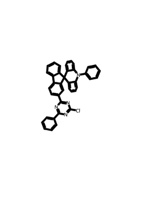 Clc1nc(-c2ccccc2)nc(-c2ccc3c(c2)C2(c4ccccc4-3)c3ccccc3N(c3ccccc3)c3ccccc32)n1